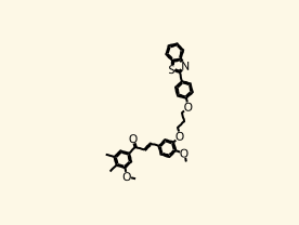 COc1ccc(/C=C/C(=O)c2cc(C)c(C)c(OC)c2)cc1OCCCOc1ccc(-c2nc3ccccc3s2)cc1